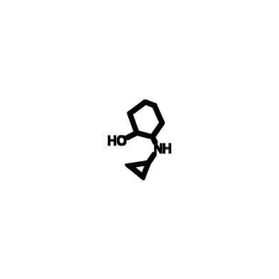 OC1CCCCC1NC1CC1